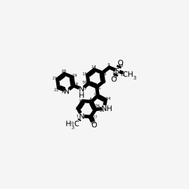 Cn1ccc2c(-c3cc(CS(C)(=O)=O)ccc3Nc3ccccn3)c[nH]c2c1=O